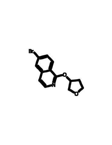 Brc1ccc2c(OC3CCOC3)nccc2c1